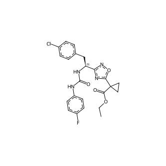 CCOC(=O)C1(c2nc([C@H](Cc3ccc(Cl)cc3)NC(=O)Nc3ccc(F)cc3)no2)CC1